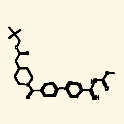 COC(=O)NC(=N)c1ccc(-c2ccc(C(=O)N3CCC(CC(=O)OCC(C)(C)C)CC3)cc2)cc1